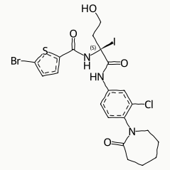 O=C(N[C@](I)(CCO)C(=O)Nc1ccc(N2CCCCCC2=O)c(Cl)c1)c1ccc(Br)s1